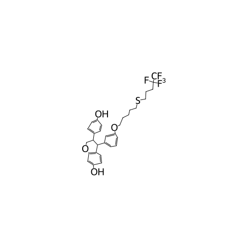 Oc1ccc(C2COc3cc(O)ccc3C2c2cccc(OCCCCCSCCCC(F)(F)C(F)(F)F)c2)cc1